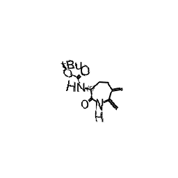 C=C1CC[C@H](NC(=O)OC(C)(C)C)C(=O)NC1=C